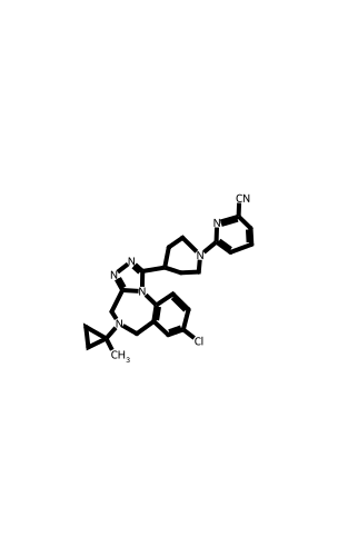 CC1(N2Cc3cc(Cl)ccc3-n3c(nnc3C3CCN(c4cccc(C#N)n4)CC3)C2)CC1